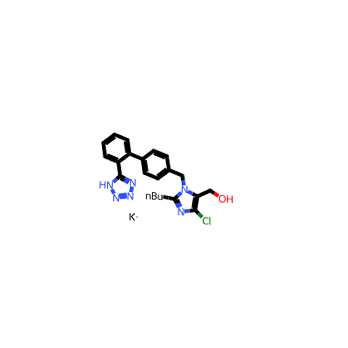 CCCCc1nc(Cl)c(CO)n1Cc1ccc(-c2ccccc2-c2nnn[nH]2)cc1.[K]